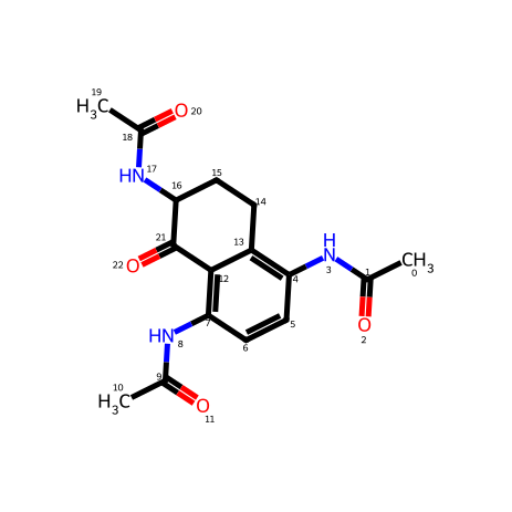 CC(=O)Nc1ccc(NC(C)=O)c2c1CCC(NC(C)=O)C2=O